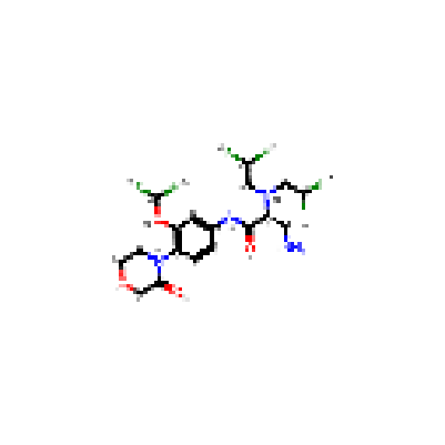 NC[C@@H](C(=O)Nc1ccc(N2CCOCC2=O)c(OC(F)F)c1)N(CC(F)F)CC(F)F